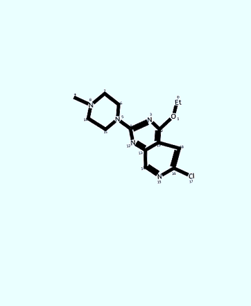 CCOc1nc(N2CCN(C)CC2)nc2cnc(Cl)cc12